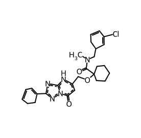 CN(CC1C=C(Cl)C=CC1)C(=O)C1(OCc2cc(=O)n3nc(C4=CC=CCC4)nc3[nH]2)CCCCC1